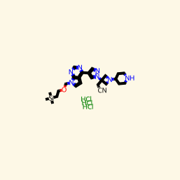 C[Si](C)(C)CCOCn1ccc2c(-c3cnn(C4(CC#N)CN(C5CCNCC5)C4)c3)ncnc21.Cl.Cl.Cl